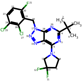 CC(C)(C)c1nc(N2CCC(F)(F)C2)c2nnn(Cc3c(F)ccc(Cl)c3Cl)c2n1